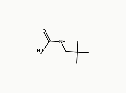 CC(C)(C)CNC(=O)P